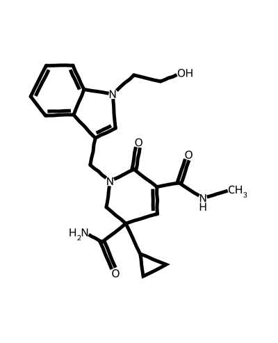 CNC(=O)C1=CC(C(N)=O)(C2CC2)CN(Cc2cn(CCO)c3ccccc23)C1=O